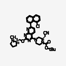 CN1CCC[C@H]1COc1nc(N2CCN(C(=O)OC(C)(C)C)[C@@H](CC#N)C2)c2ccc(-c3cccc4cccc(Cl)c34)nc2n1